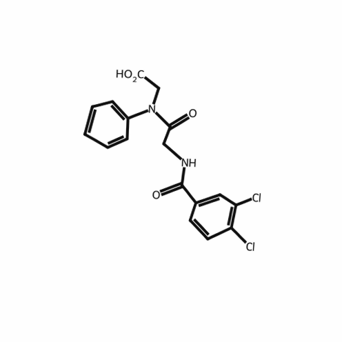 O=C(O)CN(C(=O)CNC(=O)c1ccc(Cl)c(Cl)c1)c1ccccc1